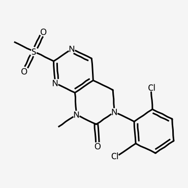 CN1C(=O)N(c2c(Cl)cccc2Cl)Cc2cnc(S(C)(=O)=O)nc21